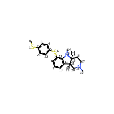 CSc1ccc(Sc2cccc3c2N(C)[C@H]2CCN(C)C[C@H]32)cc1